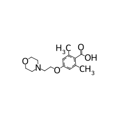 Cc1cc(OCCN2CCOCC2)cc(C)c1C(=O)O